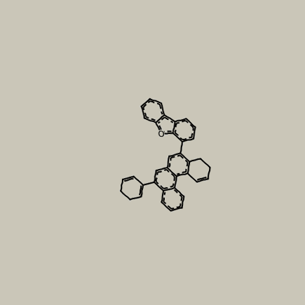 C1=CC(c2cc3cc(-c4cccc5c4oc4ccccc45)c4c(c3c3ccccc23)C=CCC4)=CCC1